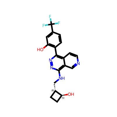 Oc1cc(C(F)(F)F)ccc1-c1nnc(NC[C@H]2CC[C@@H]2O)c2cnccc12